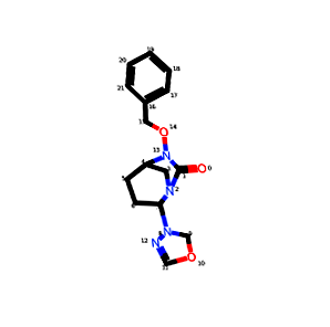 O=C1N2CC(CCC2N2COC=N2)N1OCc1ccccc1